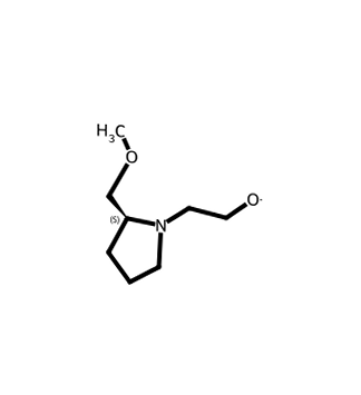 COC[C@@H]1CCCN1CC[O]